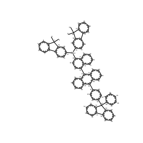 CC1(C)c2ccccc2-c2ccc(N(c3ccc4c(c3)C(C)(C)c3ccccc3-4)c3ccc(-c4c5ccccc5c(-c5ccc(C6(c7ccccc7)c7ccccc7-c7ccccc76)cc5)c5ccccc45)c4ccccc34)cc21